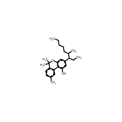 CCCCCC(C)C(CC)c1cc(O)c2c(c1)OC(C)(C)c1ccc(C)cc1-2